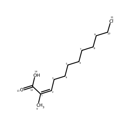 CC(=CCCCCCCCCCl)C(=O)O